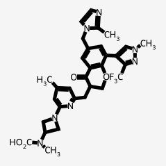 Cc1cc(CC2COc3c(cc(Cn4ccnc4C)cc3-c3cn(C)nc3C(F)(F)F)C2=O)nc(N2CC(N(C)C(=O)O)C2)c1